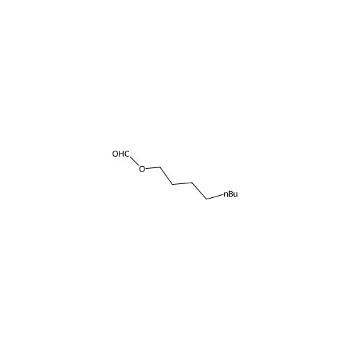 CCCCCCCCOC=O